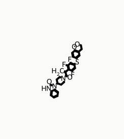 C=C(C(=O)N1CCC(n2c(=O)[nH]c3ccccc32)CC1)c1c(F)cc(Sc2ccc3c(c2)CCOO3)c(F)c1F